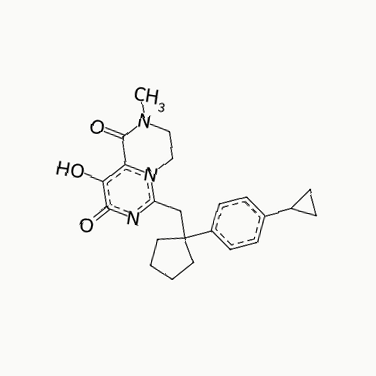 CN1CCn2c(CC3(c4ccc(C5CC5)cc4)CCCC3)nc(=O)c(O)c2C1=O